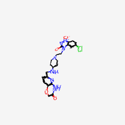 O=C1COc2ccc(CNC3CCN(CCn4c(=O)n[n+]([O-])c5ccc(Cl)cc54)CC3)nc2N1